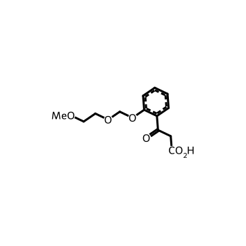 COCCOCOc1ccccc1C(=O)CC(=O)O